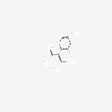 C=C(C)C(=C(C)C)c1ncc(N)cc1F